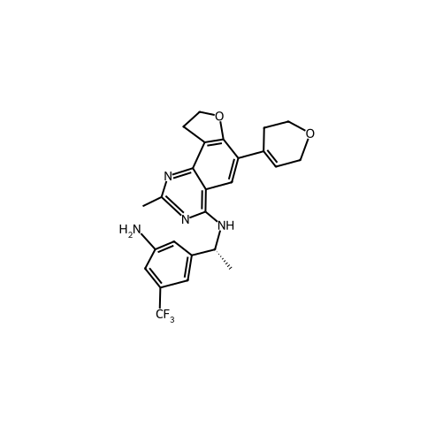 Cc1nc(N[C@H](C)c2cc(N)cc(C(F)(F)F)c2)c2cc(C3=CCOCC3)c3c(c2n1)CCO3